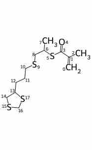 C=C(C)C(=O)SC(C)CSCCCC1CSCS1